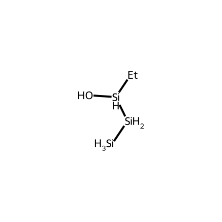 [CH2]C[SiH](O)[SiH2][SiH3]